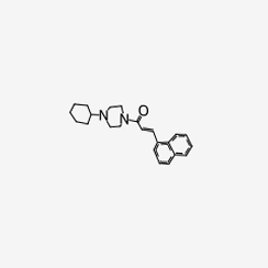 O=C(/C=C/c1cccc2ccccc12)N1CCN(C2CCCCC2)CC1